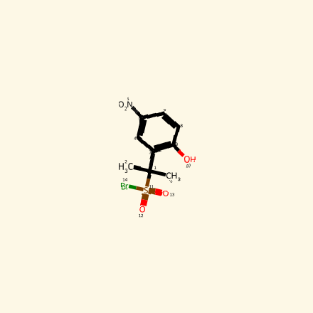 CC(C)(c1cc([N+](=O)[O-])ccc1O)S(=O)(=O)Br